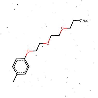 [CH2]c1ccc(OCCOCCOCCOC)cc1